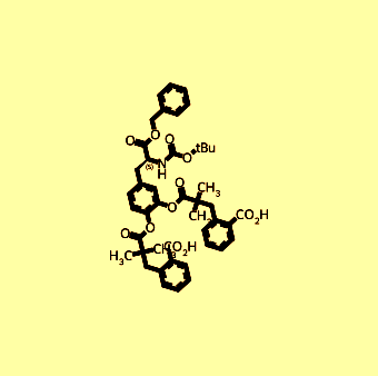 CC(C)(C)OC(=O)N[C@@H](Cc1ccc(OC(=O)C(C)(C)Cc2ccccc2C(=O)O)c(OC(=O)C(C)(C)Cc2ccccc2C(=O)O)c1)C(=O)OCc1ccccc1